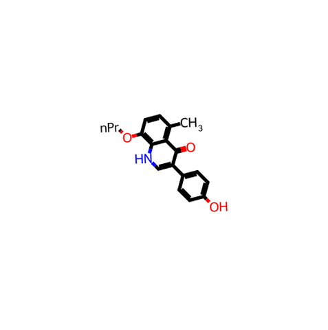 CCCOc1ccc(C)c2c(=O)c(-c3ccc(O)cc3)c[nH]c12